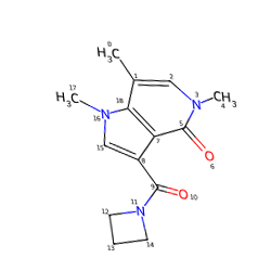 Cc1cn(C)c(=O)c2c(C(=O)N3CCC3)cn(C)c12